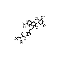 CNc1ncc2cc(-c3cc(OC)cc(OC)c3Cl)c(=O)n(CCc3csc(NC(=O)/C(C#N)=C/C(C)(C)C)n3)c2n1